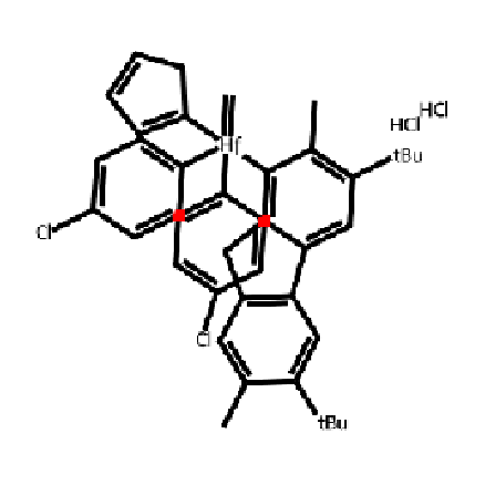 Cl.Cl.[CH2]=[Hf]([C]1=CC=CC1)([c]1ccc(Cl)cc1)([c]1ccc(Cl)cc1)[c]1c(C)c(C(C)(C)C)cc2c1Cc1cc(C)c(C(C)(C)C)cc1-2